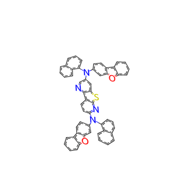 c1ccc2c(N(c3ccc4c(c3)oc3ccccc34)c3cnc4c(c3)sc3nc(N(c5ccc6c(c5)oc5ccccc56)c5cccc6ccccc56)ccc34)cccc2c1